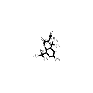 CC1CC(C(C)(C)C)C(OC(=O)CC#N)C(C(C)(C)C)C1